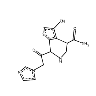 N#Cc1[c]sc2c1C(C(N)=O)CNC2C(=O)Cn1ccnc1